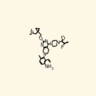 C=Cc1c(N)ccc(C)c1N1CCc2c(nc(OCC3(CN(C)C)CC3)nc2N2CCN(C(=O)C(=C)F)CC2)C1